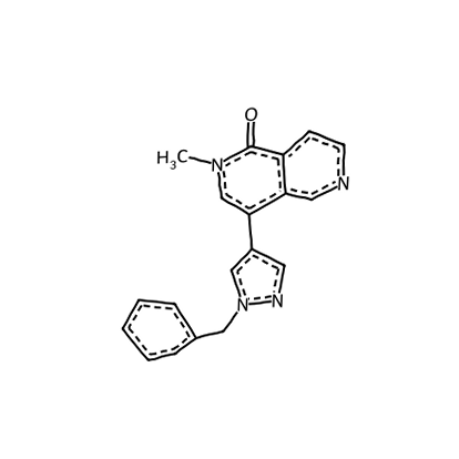 Cn1cc(-c2cnn(Cc3ccccc3)c2)c2cnccc2c1=O